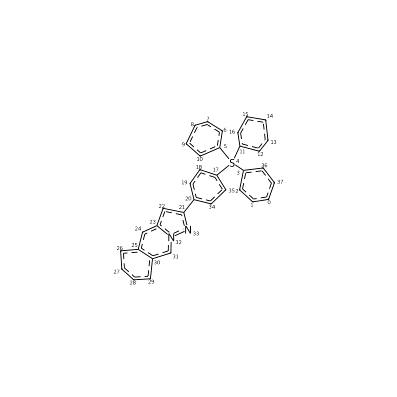 c1ccc(S(c2ccccc2)(c2ccccc2)c2ccc(-c3cc4cc5ccccc5cn4n3)cc2)cc1